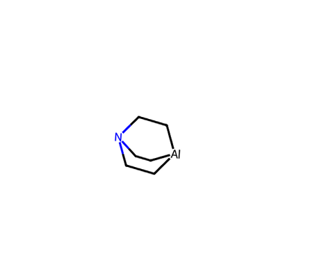 C1[CH2][Al]2[CH2]CN1C[CH2]2